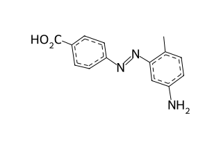 Cc1ccc(N)cc1N=Nc1ccc(C(=O)O)cc1